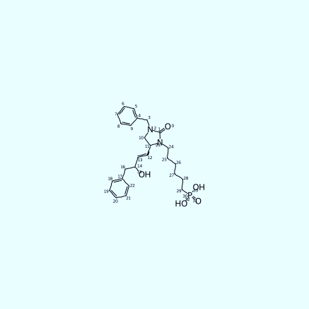 O=C1N(Cc2ccccc2)C[C@H](C=CC(O)Cc2ccccc2)N1CCCCCCP(=O)(O)O